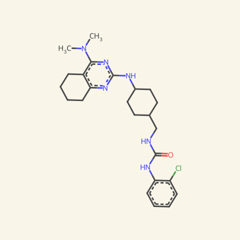 CN(C)c1nc(NC2CCC(CNC(=O)Nc3ccccc3Cl)CC2)nc2c1CCCC2